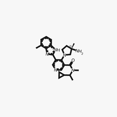 Cc1cccc2[nH]c(-c3cncc(C(=O)N(C)C(C)C4CC4)c3N3CC[C@](C)(N)C3)nc12